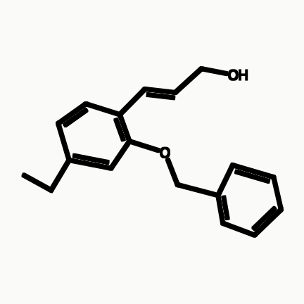 CCc1ccc(C=CCO)c(OCc2ccccc2)c1